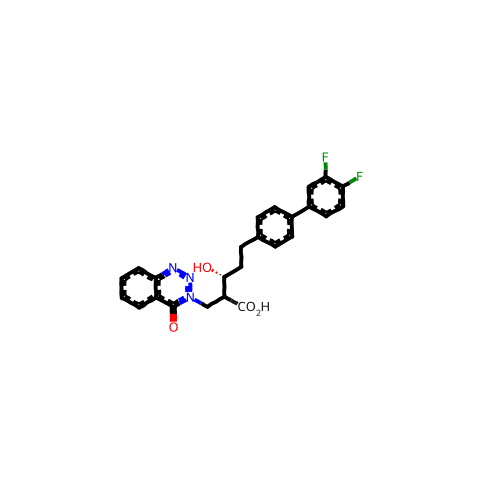 O=C(O)C(Cn1nnc2ccccc2c1=O)[C@H](O)CCc1ccc(-c2ccc(F)c(F)c2)cc1